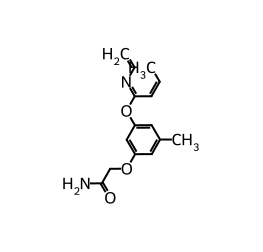 C=C/N=C(\C=C/C)Oc1cc(C)cc(OCC(N)=O)c1